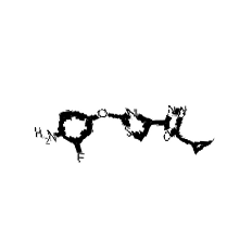 Nc1ccc(Oc2nc(-c3nnc(C4CC4)o3)cs2)cc1F